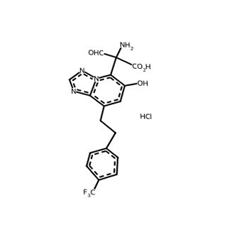 Cl.NC(C=O)(C(=O)O)c1c(O)cc(CCc2ccc(C(F)(F)F)cc2)c2ncnn12